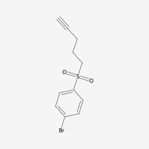 C#CCCCS(=O)(=O)c1ccc(Br)cc1